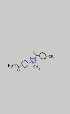 C=CC(=O)N1CCC(n2nc(C(=O)c3ccc(C(F)(F)F)cc3)cc2C)CC1